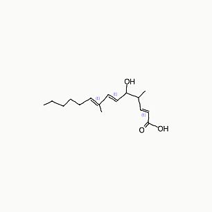 CCCCC/C=C(C)/C=C/C(O)C(C)/C=C/C(=O)O